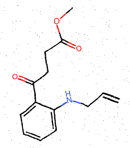 C=CCNc1ccccc1C(=O)CCC(=O)OC